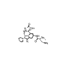 CC(=O)O.N#CCC(N)C(=O)Nc1cc2c3c(c(-c4ccccc4)[nH]c3c1)C=NNC2=O